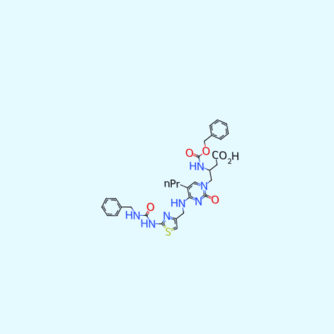 CCCc1cn(CC(CC(=O)O)NC(=O)OCc2ccccc2)c(=O)nc1NCc1csc(NC(=O)NCc2ccccc2)n1